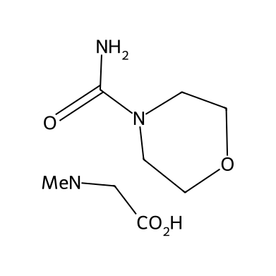 CNCC(=O)O.NC(=O)N1CCOCC1